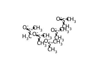 C[S+](C)[O-].C[S+](C)[O-].C[S+](C)[O-].C[S+](C)[O-].C[S+](C)[O-]